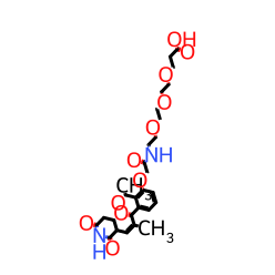 CC(=O)c1c(OCC(=O)NCCOCCOCCOCCC(=O)O)cccc1C(=O)/C(C)=C\C1CCC(=O)NC1=O